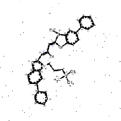 CCC(/C=C1\Oc2ccc(-c3ccccc3)cc2N1CC)=C\c1oc2ccc(-c3ccccc3)cc2[n+]1CCC[N+](C)(C)C